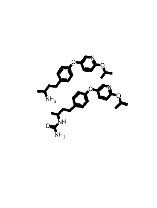 CC(CCc1ccc(Oc2ccc(OC(C)C)nc2)cc1)NC(N)=O.CC(N)CCc1ccc(Oc2ccc(OC(C)C)nc2)cc1